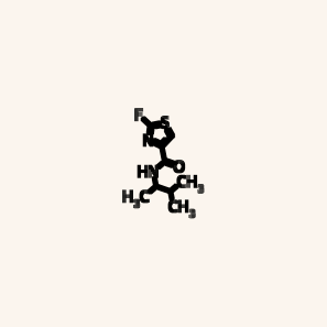 CC(C)C(C)NC(=O)c1csc(F)n1